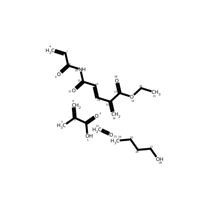 C=C(C)C(=O)O.C=CC(=O)NC(=O)C=CC(=C)C(=O)OCC.C=O.CCCCO